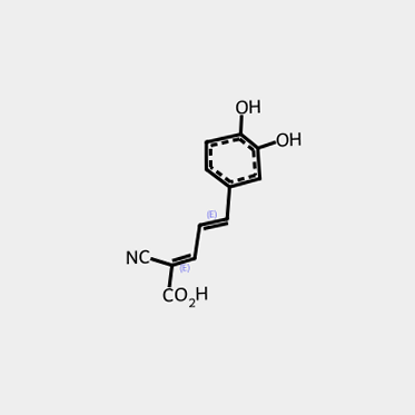 N#C/C(=C\C=C\c1ccc(O)c(O)c1)C(=O)O